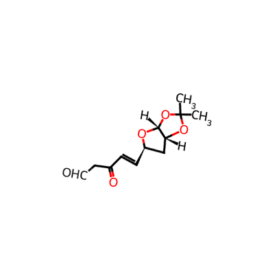 CC1(C)O[C@H]2O[C@H](/C=C/C(=O)CC=O)C[C@H]2O1